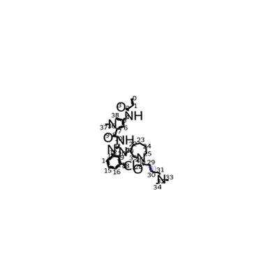 C=CC(=O)Nc1cc(C(=O)Nc2nc3cccc(Cl)c3n2[C@@H]2CCCCN(C(=O)/C=C/CN(C)C)C2)n(C)c1